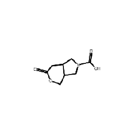 O=C1CC2CN(C(=O)O)CC2CO1